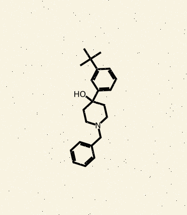 CC(C)(C)c1cccc(C2(O)CCN(Cc3ccccc3)CC2)c1